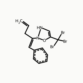 C=CCC(=Cc1ccccc1)N1NC=C(C(Br)(Br)Br)O1